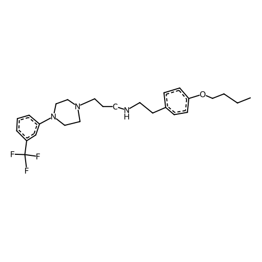 CCCCOc1ccc(CCNCCCN2CCN(c3cccc(C(F)(F)F)c3)CC2)cc1